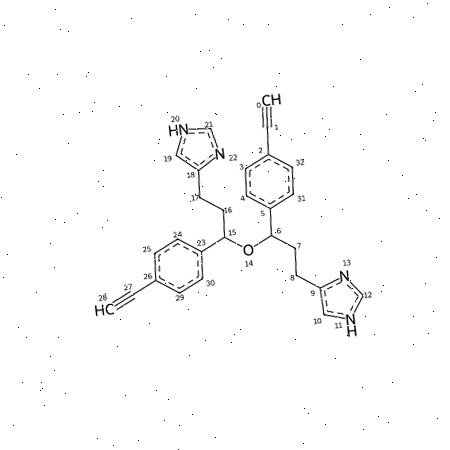 C#Cc1ccc(C(CCc2c[nH]cn2)OC(CCc2c[nH]cn2)c2ccc(C#C)cc2)cc1